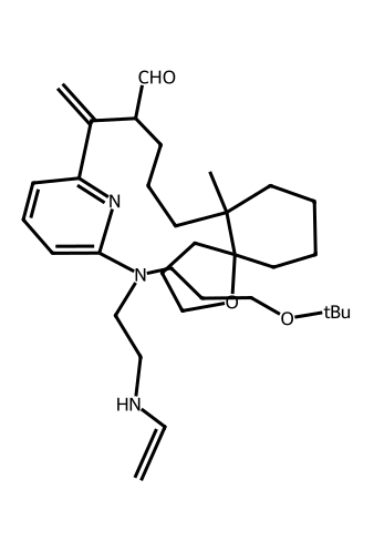 C=CNCCN(CCCOC(C)(C)C)c1cccc(C(=C)C(C=O)CCCC2(C)CCCCC23CCCO3)n1